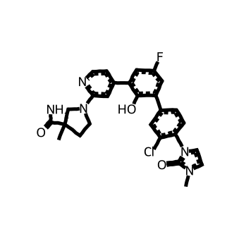 Cn1ccn(-c2ccc(-c3cc(F)cc(-c4ccnc(N5CCC(C)(C(N)=O)C5)c4)c3O)cc2Cl)c1=O